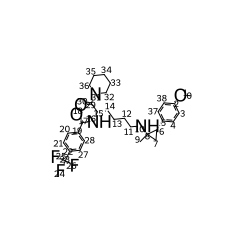 COc1ccc([C@@H]2CC2(C)NCCCC[C@H](NC(=O)c2ccc(C(F)(F)F)cc2)C(=O)N2CCCCC2)cc1